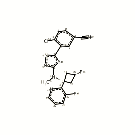 CN(c1nnc(-c2cc(C#N)ccc2Cl)s1)[C@]1(c2ncccc2F)C[C@H](F)C1